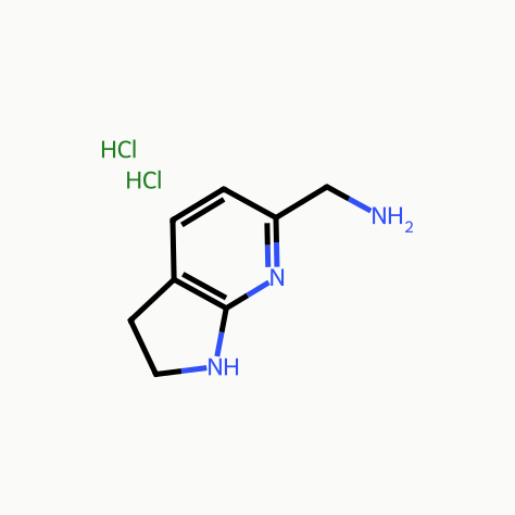 Cl.Cl.NCc1ccc2c(n1)NCC2